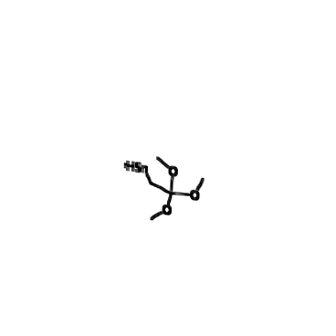 COC([CH2][SnH])(OC)OC